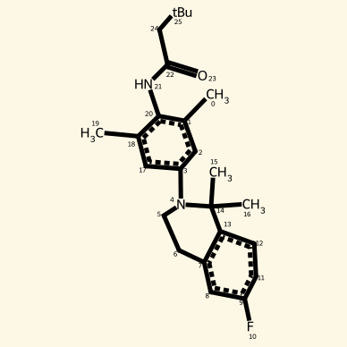 Cc1cc(N2CCc3cc(F)ccc3C2(C)C)cc(C)c1NC(=O)CC(C)(C)C